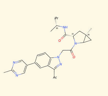 CC(=O)c1nn(CC(=O)N2C3C[C@]3(C)C[C@H]2C(=O)N[C@H](C)C(C)C)c2ccc(-c3cnc(C)nc3)cc12